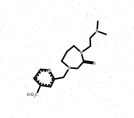 CCOC(=O)c1ccnc(CN2CCCN(CCN(C)C)C(=S)C2)c1